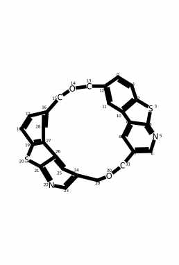 c1cc2sc3ncc4cc3c2cc1COCc1ccc2sc3ncc(cc3c2c1)COC4